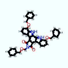 O=C1c2c(c3c4cccc(OCc5ccccc5)c4[nH]c3c3[nH]c4c(OCc5ccccc5)cccc4c23)C(=O)N1COCc1ccccc1